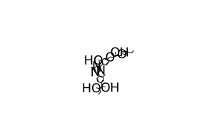 CCCCOCC(O)COc1ccc(-c2nc(C)nc(-c3ccc(C(O)C(O)CC)cc3C)n2)c(O)c1